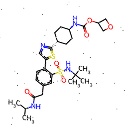 CC(C)NC(=O)Cc1ccc(-c2cnc([C@H]3CC[C@H](NC(=O)OC4COC4)CC3)s2)c(S(=O)(=O)NC(C)(C)C)c1